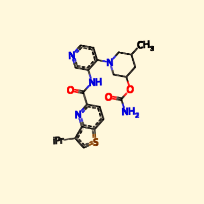 CC1CC(OC(N)=O)CN(c2ccncc2NC(=O)c2ccc3scc(C(C)C)c3n2)C1